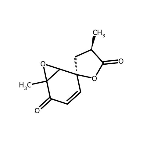 C[C@@H]1C[C@@]2(C=CC(=O)C3(C)OC32)OC1=O